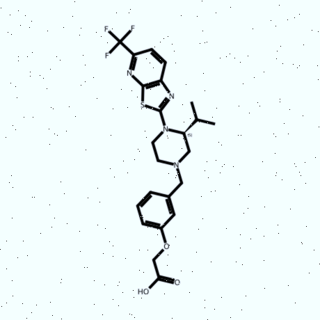 CC(C)[C@H]1CN(Cc2cccc(OCC(=O)O)c2)CCN1c1nc2ccc(C(F)(F)F)nc2s1